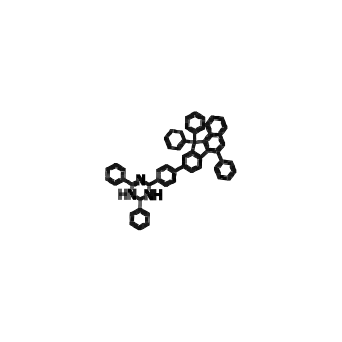 C1=CCCC(C2(c3ccccc3)c3cc(-c4ccc(C5N=C(c6ccccc6)NC(c6ccccc6)N5)cc4)ccc3-c3c(-c4ccccc4)cc4ccccc4c32)=C1